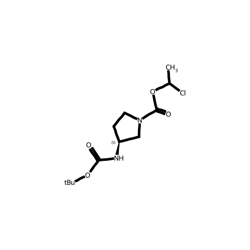 CC(Cl)OC(=O)N1CC[C@H](NC(=O)OC(C)(C)C)C1